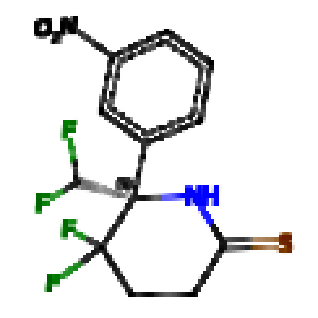 O=[N+]([O-])c1cccc([C@@]2(C(F)F)NC(=S)CCC2(F)F)c1